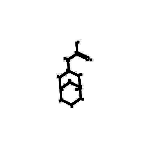 CC(=O)OC1CC2CCCN(C2)C1